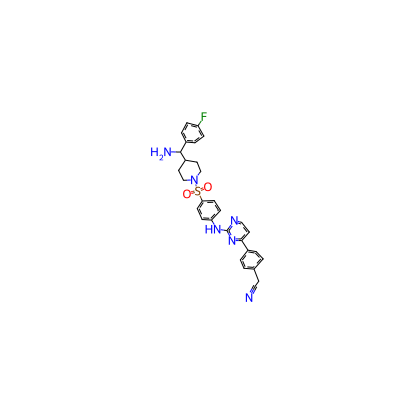 N#CCc1ccc(-c2ccnc(Nc3ccc(S(=O)(=O)N4CCC(C(N)c5ccc(F)cc5)CC4)cc3)n2)cc1